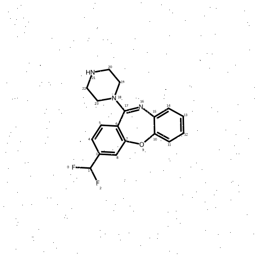 FC(F)c1ccc2c(c1)Oc1ccccc1N=C2N1CCNCC1